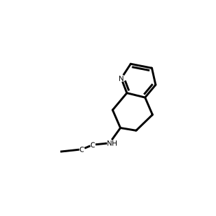 CCCNC1CCc2cccnc2C1